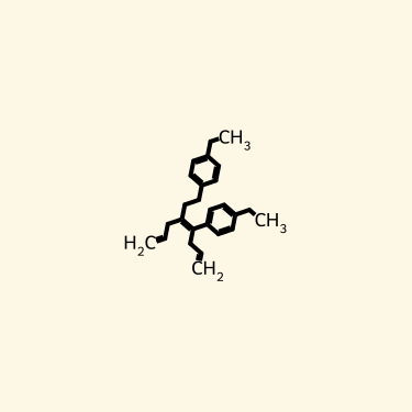 C=CCC(CCc1ccc(CC)cc1)=C(CC=C)c1ccc(CC)cc1